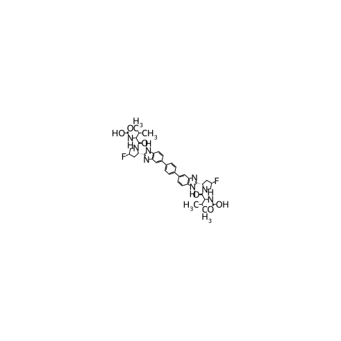 CC(C)[C@H](NC(=O)O)C(=O)N1C[C@H](F)C[C@H]1c1nc2cc(-c3ccc(-c4ccc5[nH]c([C@@H]6C[C@@H](F)CN6C(=O)[C@@H](NC(=O)O)C(C)C)nc5c4)cc3)ccc2[nH]1